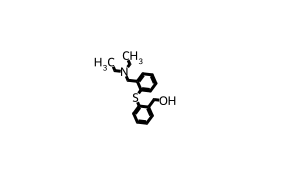 CCN(CC)Cc1ccccc1Sc1ccccc1CO